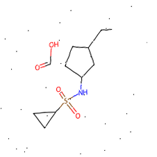 CCC1CCC(NS(=O)(=O)C2CC2)C1.O=CO